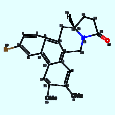 COc1cc2c3c(c4ccc(Br)cc4c2cc1OC)C[C@@H]1CCC(=O)N1C3